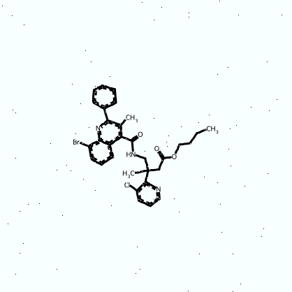 CCCCOC(=O)CC(C)(CNC(=O)c1c(C)c(-c2ccccc2)nc2c(Br)cccc12)c1ncccc1Cl